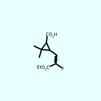 CCOC(=O)/C(F)=C\C1C(C(=O)O)C1(C)C